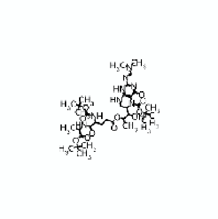 CC(NC(=O)C(CCC(=O)OC(C)C(O)C1CNc2[nH]c(N=CN(C)C)nc(=O)c2N1C(=O)OC(C)(C)C)NC(=O)OC(C)(C)C)C(=O)OC(C)(C)C